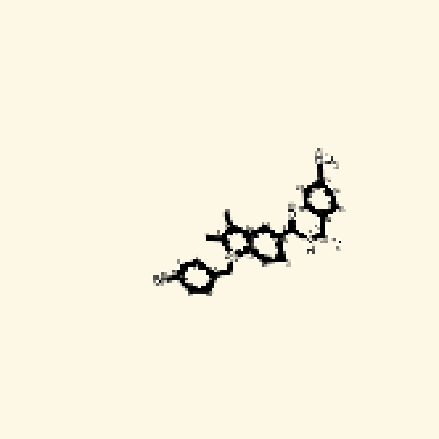 Cc1c(C)n(Cc2ccc(Br)cc2)c2ccc(C(=O)N[C@@H](C)c3ccc([N+](=O)[O-])cc3)cc12